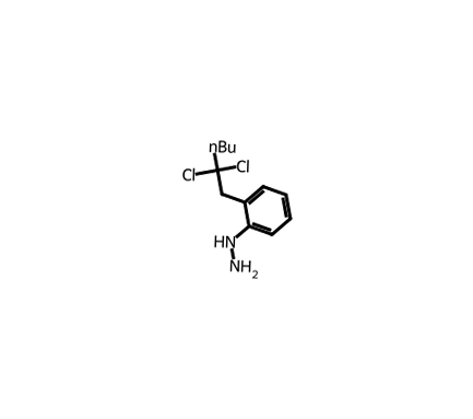 CCCCC(Cl)(Cl)Cc1ccccc1NN